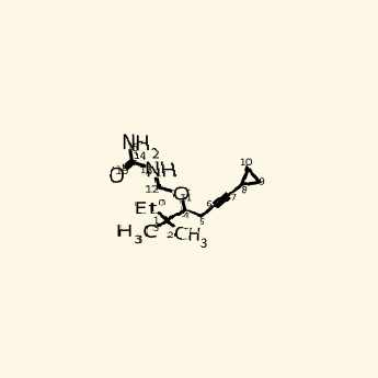 CCC(C)(C)[C@H](CC#CC1CC1)OCNC(N)=O